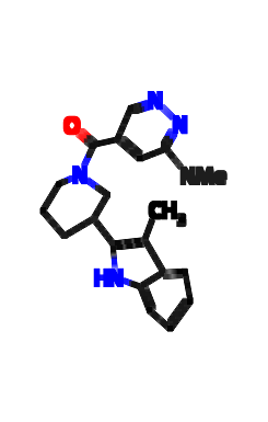 CNc1cc(C(=O)N2CCCC(c3[nH]c4ccccc4c3C)C2)cnn1